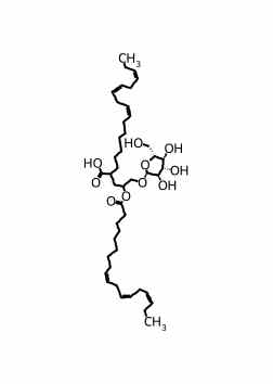 CC/C=C\C/C=C\C/C=C\CCCCCCCC(=O)OC(CO[C@H]1O[C@H](CO)[C@@H](O)[C@H](O)[C@H]1O)CC(CCCCCC/C=C\C/C=C\C/C=C\CC)C(=O)O